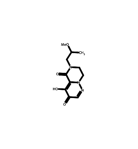 COC(C)CN1CCn2ncc(=O)c(O)c2C1=O